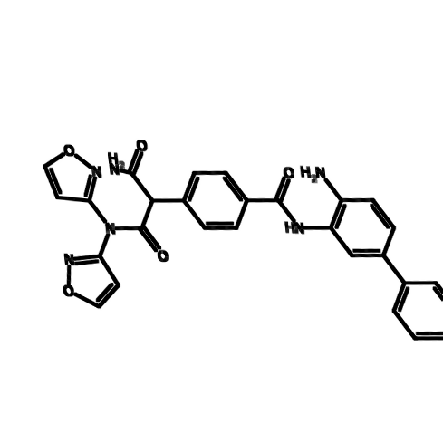 NC(=O)C(C(=O)N(c1ccon1)c1ccon1)c1ccc(C(=O)Nc2cc(-c3ccccc3)ccc2N)cc1